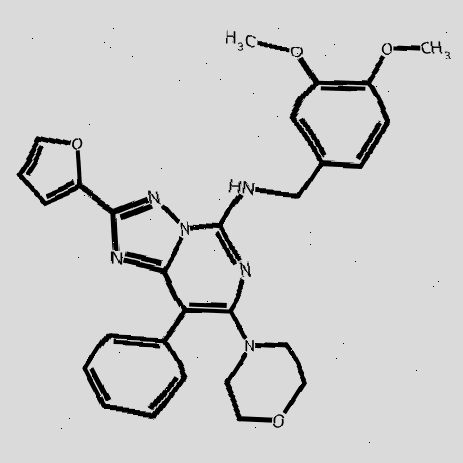 COc1ccc(CNc2nc(N3CCOCC3)c(-c3ccccc3)c3nc(-c4ccco4)nn23)cc1OC